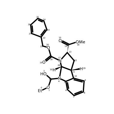 CCOC(O)N1c2ccccc2[C@H]2C[C@@H](C(=O)OC)N(C(=O)OCc3ccccc3)[C@H]21